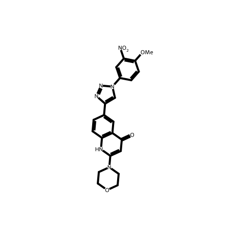 COc1ccc(-n2cc(-c3ccc4[nH]c(N5CCOCC5)cc(=O)c4c3)nn2)cc1[N+](=O)[O-]